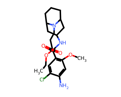 CCOC(=O)CCN1C2CCCC1CC(NC(=O)c1cc(Cl)c(N)cc1OC)C2